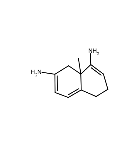 CC12CC(N)=CC=C1CCC=C2N